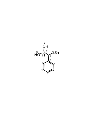 CC(C)(C)C(c1ccccc1)[SiH](O)O